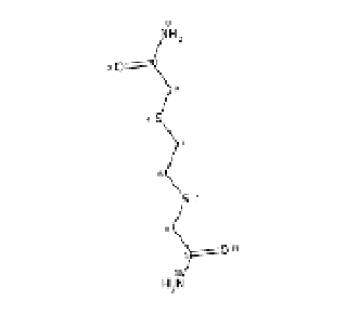 NC(=O)CSCCSCC(N)=O